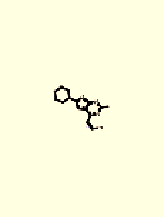 Cc1nc(/C=C\O)c2cc(C3CCCCC3)sc2n1